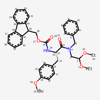 CCOC(CN(Cc1ccccc1)C(=O)[C@H](Cc1ccc(OC(C)(C)C)cc1)NC(=O)OCC1c2ccccc2-c2ccccc21)OCC